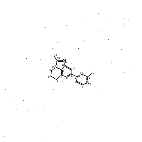 Cc1nccc(-c2cc3c4c(c2)nc(C)n4CCC3)n1